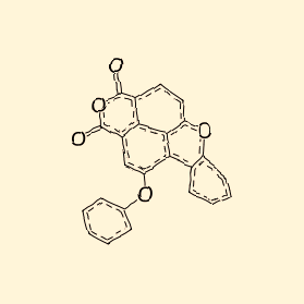 O=c1oc(=O)c2cc(Oc3ccccc3)c3c4ccccc4oc4ccc1c2c43